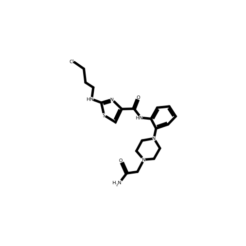 NC(=O)CN1CCN(c2ccccc2NC(=O)c2csc(NCCCCl)n2)CC1